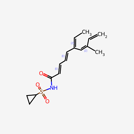 C=C\C(C)=C/C(=C\C)/C=C/C=C/C(=O)NS(=O)(=O)C1CC1